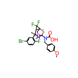 COCC12SC(N(Cc3ccc(OC)cc3)C(=O)O)=N[C@](C)(c3cc(Br)ccc3F)C1C2(F)F